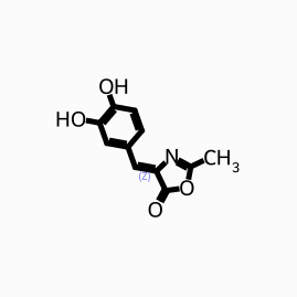 CC1=N/C(=C\c2ccc(O)c(O)c2)C(=O)O1